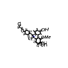 CC/C(=C(/c1ccc(O)cc1)c1ccc(OCCCl)cc1)c1ccc(O)c(OC)c1